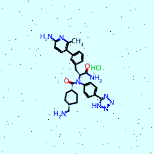 Cc1nc(N)ccc1-c1cccc(C[C@@H](C(N)=O)N(c2ccc(-c3nnn[nH]3)cc2)C(=O)[C@H]2CC[C@H](CN)CC2)c1.Cl